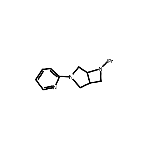 CC(C)N1CC2CN(c3ccccn3)CC21